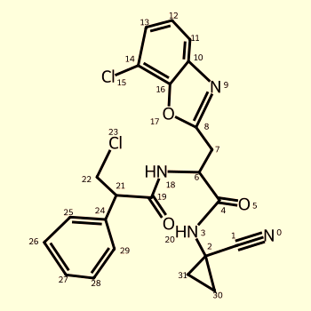 N#CC1(NC(=O)C(Cc2nc3cccc(Cl)c3o2)NC(=O)C(CCl)c2ccccc2)CC1